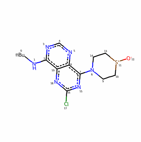 CCCCNc1ncnc2c(N3CC[S+]([O-])CC3)nc(Cl)nc12